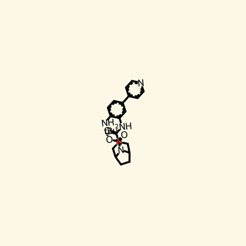 CC(C)(C)OC(=O)N1C2CCC1CN(C(=O)Nc1cc(-c3ccncc3)ccc1N)C2